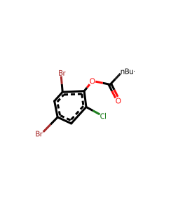 CCC[CH]C(=O)Oc1c(Cl)cc(Br)cc1Br